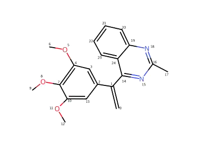 C=C(c1cc(OC)c(OC)c(OC)c1)c1nc(C)nc2ccccc12